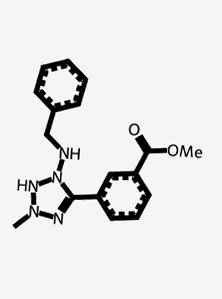 COC(=O)c1cccc(C2=NN(C)NN2NCc2ccccc2)c1